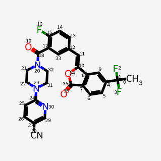 CC(F)(F)c1ccc2c(c1)C(=Cc1ccc(F)c(C(=O)N3CCN(c4ccc(C#N)cn4)CC3)c1)OC2=O